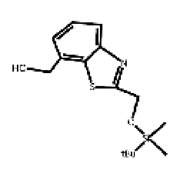 CC(C)(C)[Si](C)(C)OCc1nc2cccc(CO)c2s1